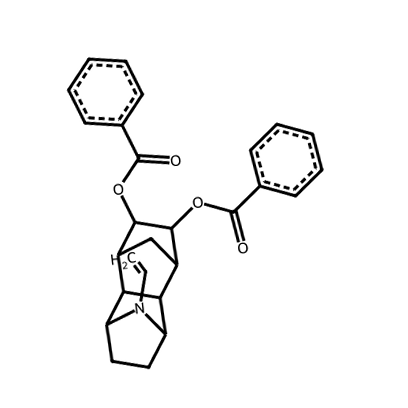 C=CN1C2CCC1C1C3CC(C(OC(=O)c4ccccc4)C3OC(=O)c3ccccc3)C12